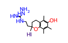 Cc1c(C)c2c(c(C)c1O)CCC(C)(CCNC(=N)NN)O2.I